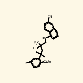 COc1ccc(F)cc1C(C)(C)CC(O)(CNc1cccc2nc(C#N)ccc12)C(F)(F)F